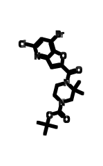 CC(C)(C)OC(=O)N1CCN(C(=O)c2cc3nc(Cl)cc(Br)c3o2)C(C)(C)C1